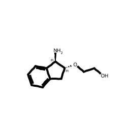 N[C@@H]1c2ccccc2C[C@H]1OCCO